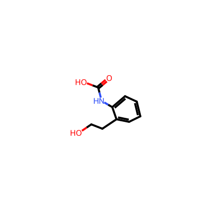 O=C(O)Nc1ccccc1CCO